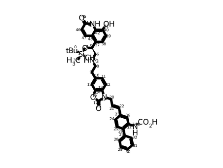 CC(C)(C)[Si](C)(C)O[C@H](CNCCc1ccc2c(c1)oc(=O)n2C/C=C/c1ccc(-c2ccccc2)c(NC(=O)O)c1)c1ccc(O)c2[nH]c(=O)ccc12